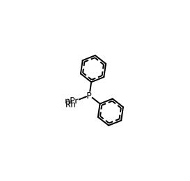 CCCP(c1ccccc1)c1ccccc1.[Rh]